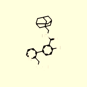 O=C(O)Cc1ncccc1-c1ccc(Cl)c(C(=O)NCC23CC4CC(CC(C4)C2)C3)c1